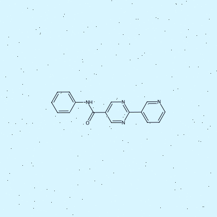 O=C(Nc1ccccc1)c1cnc(-c2cccnc2)nc1